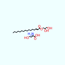 CCCCCCCCCCCCCC=CC(=O)OCC(O)CO.N[C@@H](CCO)C(=O)O